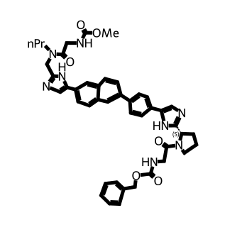 CCCN(Cc1ncc(-c2ccc3cc(-c4ccc(-c5cnc([C@@H]6CCCN6C(=O)CNC(=O)OCc6ccccc6)[nH]5)cc4)ccc3c2)[nH]1)C(=O)CNC(=O)OC